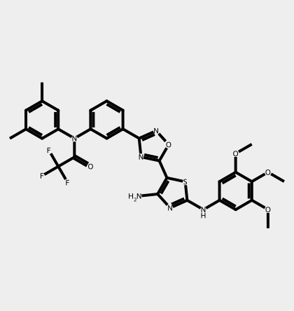 COc1cc(Nc2nc(N)c(-c3nc(-c4cccc(N(C(=O)C(F)(F)F)c5cc(C)cc(C)c5)c4)no3)s2)cc(OC)c1OC